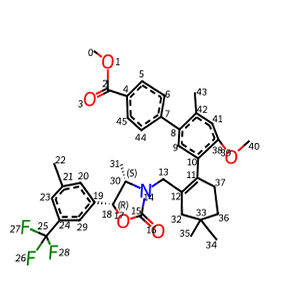 COC(=O)c1ccc(-c2cc(C3=C(CN4C(=O)O[C@H](c5cc(C)cc(C(F)(F)F)c5)[C@@H]4C)CC(C)(C)CC3)c(OC)cc2C)cc1